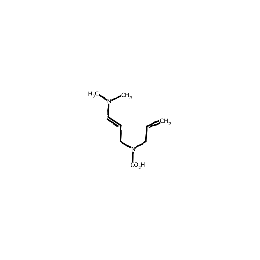 C=CCN(CC=CN(C)C)C(=O)O